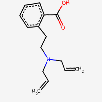 C=CCN(CC=C)CCc1ccccc1C(=O)O